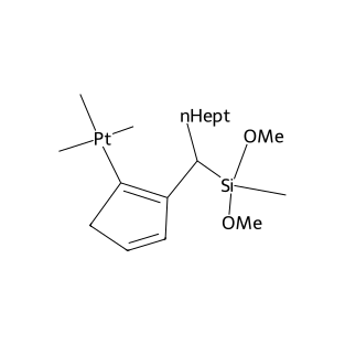 CCCCCCCC(C1=[C]([Pt]([CH3])([CH3])[CH3])CC=C1)[Si](C)(OC)OC